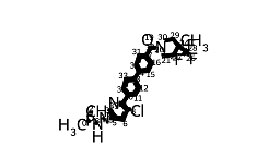 CP(C)NN1c2cc(Cl)c(-c3ccc(-c4ccc(C(=O)N5CCC(C)(C(F)(F)F)CC5)cc4)cc3)nc21